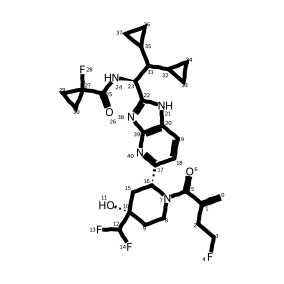 C=C(CCF)C(=O)N1CC[C@@](O)(C(F)F)C[C@@H]1c1ccc2[nH]c([C@@H](NC(=O)C3(F)CC3)C(C3CC3)C3CC3)nc2n1